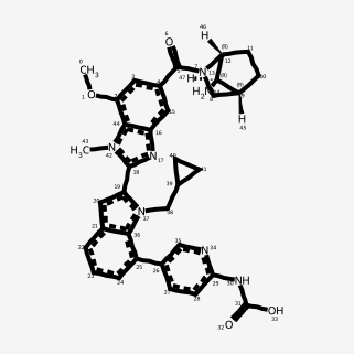 COc1cc(C(=O)N2C[C@H]3CC[C@@H]2[C@@H]3N)cc2nc(-c3cc4cccc(-c5ccc(NC(=O)O)nc5)c4n3CC3CC3)n(C)c12